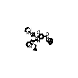 COc1cc(C(=O)N2CC3CC4CC2[C@H]43)cc2nc(-c3cc4cccnc4n3CC3CC3)n(C3CN(c4ncccn4)C3)c12